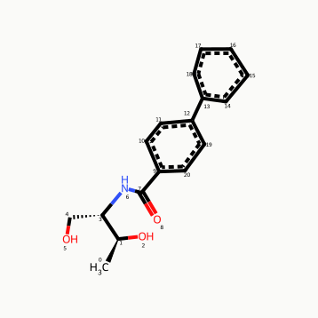 C[C@H](O)[C@H](CO)NC(=O)c1ccc(-c2ccccc2)cc1